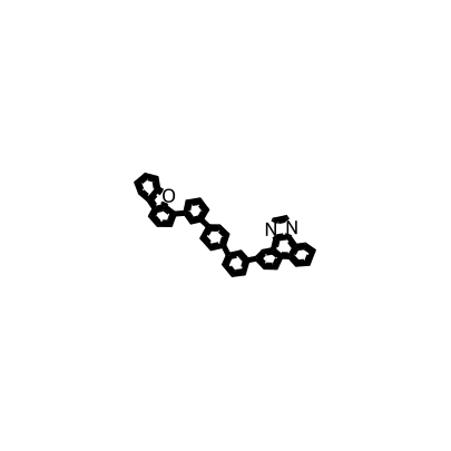 c1cc(-c2ccc(-c3cccc(-c4cccc5c4oc4ccccc45)c3)cc2)cc(-c2ccc3c4ccccc4c4nccnc4c3c2)c1